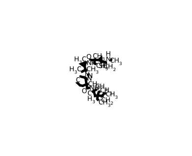 C=C(CC)C(CC)(CC)CC(C)(CC)NC(=O)C1(C)CCCCCc2c1nnn2C(C)(CC)C1CC1(C)NC(=O)C(C)(CC)C1CC1(S)C(=C)NC